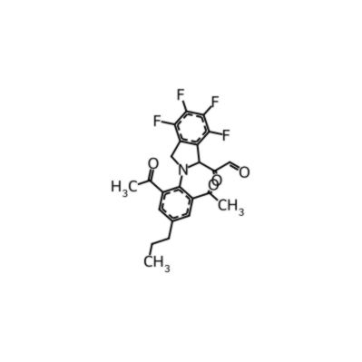 CCCc1cc(C(C)=O)c(N2Cc3c(F)c(F)c(F)c(F)c3C2C(=O)C=O)c(C(C)=O)c1